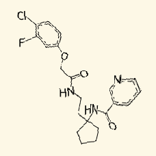 O=C(COc1ccc(Cl)c(F)c1)NCCC1(NC(=O)c2cccnc2)CCCC1